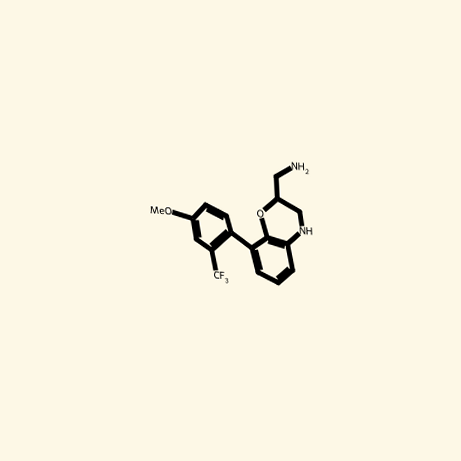 COc1ccc(-c2cccc3c2OC(CN)CN3)c(C(F)(F)F)c1